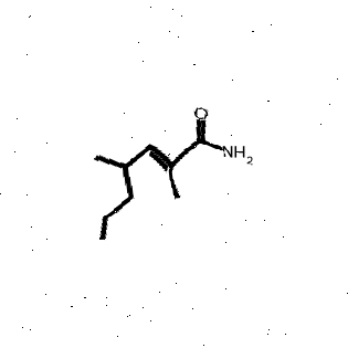 CCCC(C)/C=C(\C)C(N)=O